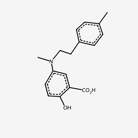 Cc1ccc(CCN(C)c2ccc(O)c(C(=O)O)c2)cc1